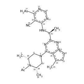 CC(=O)N1[C@H](C)CN(c2nc([C@H](C)Nc3ncnc([AsH2])c3C#N)nn3ccc(C)c23)C[C@@H]1C